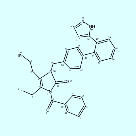 CC(C)CCc1c(CF)n(C(=O)c2ccccc2)c(=O)n1Cc1ccc(-c2ccccc2-c2nnn[nH]2)cc1